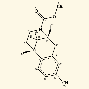 CC(C)(C)OC(=O)N1CC[C@@]2(C)c3ccc(C#N)cc3C[C@@H]1C2(C)C